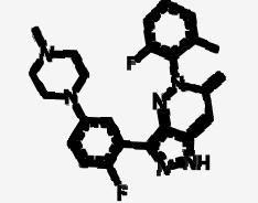 C=C1C=c2[nH]nc(-c3cc(N4CCN(C)CC4)ccc3F)c2=NN1c1c(C)cccc1F